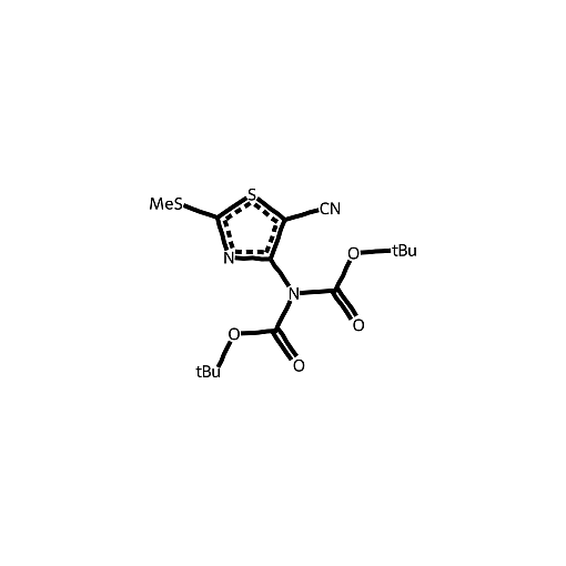 CSc1nc(N(C(=O)OC(C)(C)C)C(=O)OC(C)(C)C)c(C#N)s1